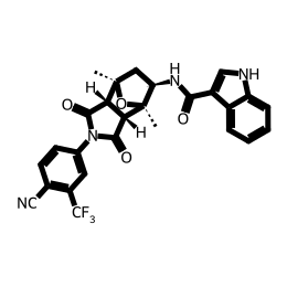 C[C@]12O[C@](C)(C[C@H]1NC(=O)c1c[nH]c3ccccc13)[C@H]1C(=O)N(c3ccc(C#N)c(C(F)(F)F)c3)C(=O)[C@H]12